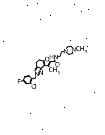 Cc1c(C(=O)NCCN2CCN(C)CC2)oc2c1-c1nn(Cc3ccc(F)cc3Cl)cc1CC2